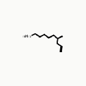 C=CCC(C)CCCCCCCCCCC